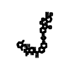 Cc1cccc(C)c1Nc1nn(C)c2nc(Nc3ccc4c(c3)CN(C3CN(c5ccc6c(c5)C(=O)N(C5CCC(=O)NC5=O)C6=O)C3)CC4)ncc12